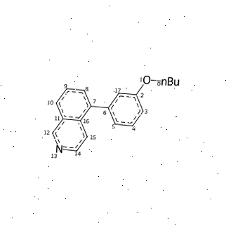 CCCCOc1cccc(-c2cccc3cnccc23)c1